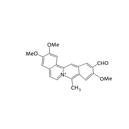 COc1cc2c(C)[n+]3ccc4cc(OC)c(OC)cc4c3cc2cc1C=O